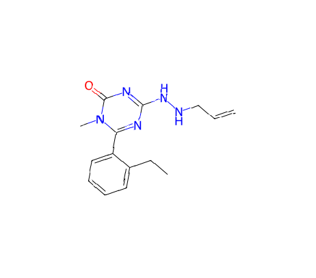 C=CCNNc1nc(-c2ccccc2CC)n(C)c(=O)n1